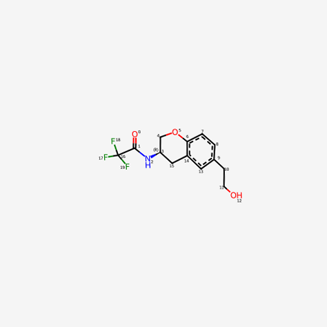 O=C(N[C@H]1COc2ccc(CCO)cc2C1)C(F)(F)F